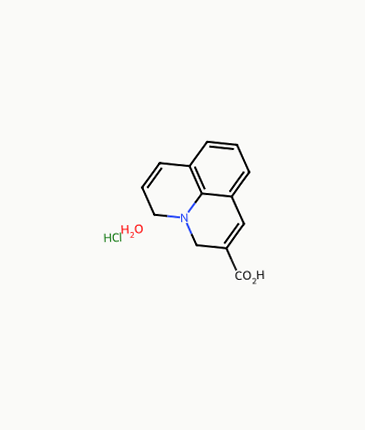 Cl.O.O=C(O)C1=Cc2cccc3c2N(CC=C3)C1